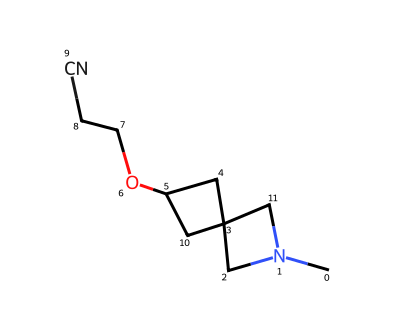 CN1CC2(CC(OCCC#N)C2)C1